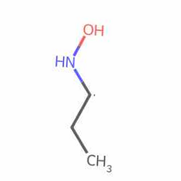 CC[CH]NO